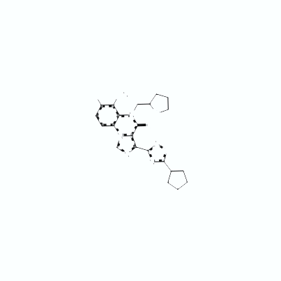 N#Cc1c(F)ccc2c1n(CC1CCCO1)c(=O)c1c(-c3noc(C4CCCC4)n3)ncn12